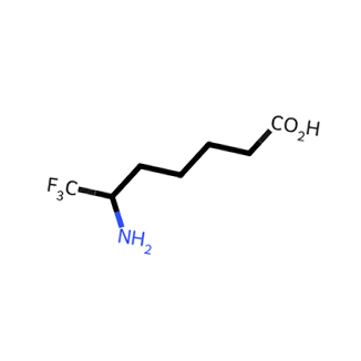 NC(CCCCC(=O)O)C(F)(F)F